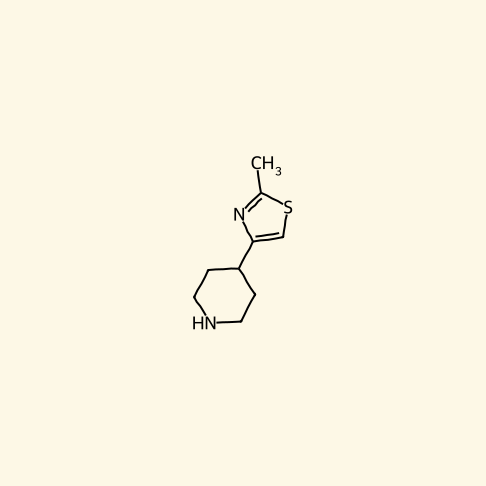 Cc1nc(C2CCNCC2)cs1